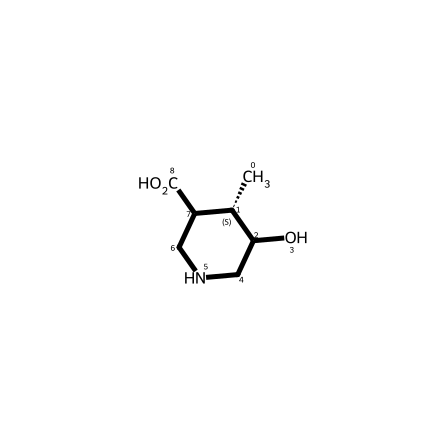 C[C@@H]1C(O)CNCC1C(=O)O